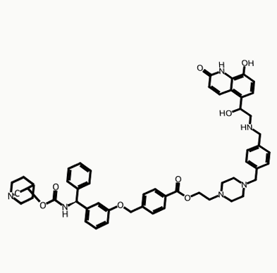 O=C(N[C@@H](c1ccccc1)c1cccc(OCc2ccc(C(=O)OCCN3CCN(Cc4ccc(CNCC(O)c5ccc(O)c6[nH]c(=O)ccc56)cc4)CC3)cc2)c1)OC1CN2CCC1CC2